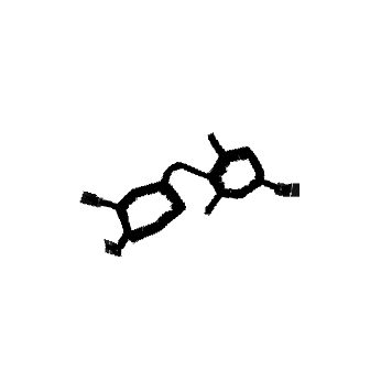 CCC(C)c1cc(Cc2c(C)cc(O)cc2C)ccc1O